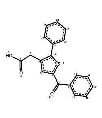 O=C(O)Cc1cc(C(=O)c2ccccc2)sc1-c1ccccc1